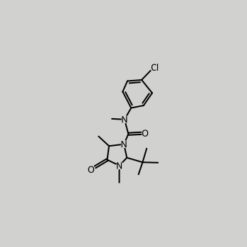 CC1C(=O)N(C)C(C(C)(C)C)N1C(=O)N(C)c1ccc(Cl)cc1